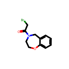 O=C(CBr)N1CCOc2ccccc2C1